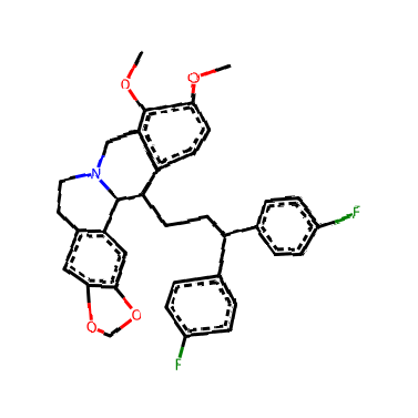 COc1ccc2c(c1OC)CN1CCc3cc4c(cc3C1C2CCC(c1ccc(F)cc1)c1ccc(F)cc1)OCO4